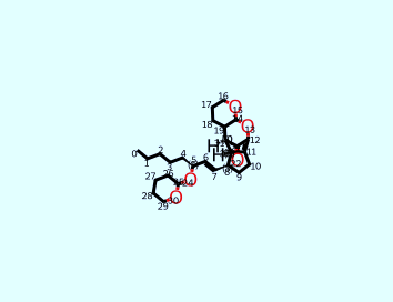 CCCCC[C@@H](C=C[C@@H]1CCC2=C3OC4OCCCC4[C@@H](C3=O)[C@H]21)OC1CCCCO1